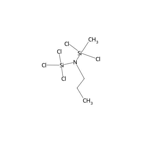 CCCN([Si](C)(Cl)Cl)[Si](Cl)(Cl)Cl